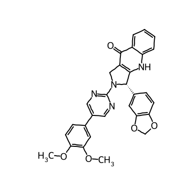 COc1ccc(-c2cnc(N3Cc4c([nH]c5ccccc5c4=O)[C@@H]3c3ccc4c(c3)OCO4)nc2)cc1OC